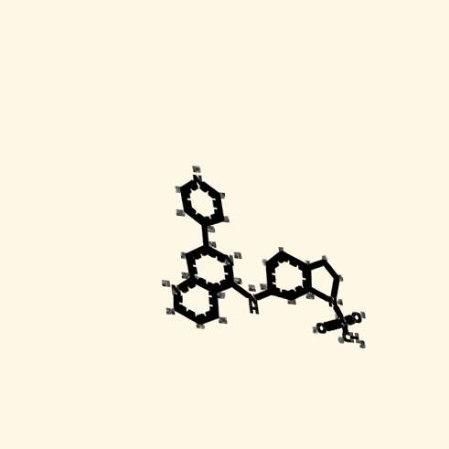 CS(=O)(=O)N1CCc2ccc(Nc3nc(-c4ccncc4)cc4ncccc34)cc21